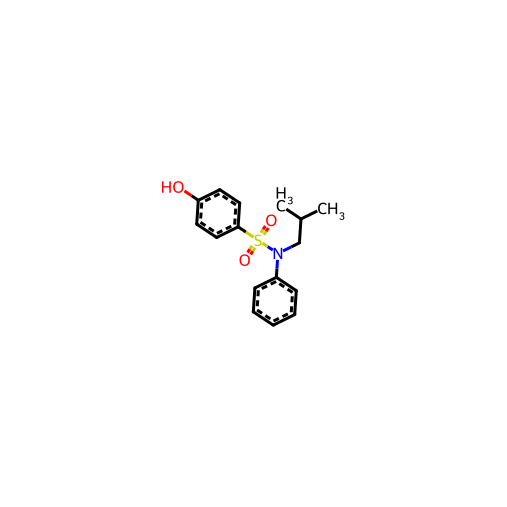 CC(C)CN(c1ccccc1)S(=O)(=O)c1ccc(O)cc1